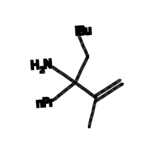 C=C(C)C(N)(CCC)CC(C)CC